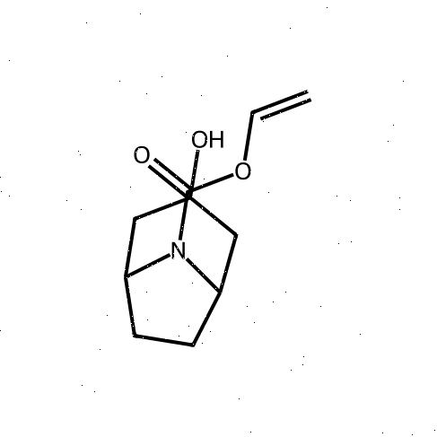 C=COC(=O)N1C2CCC1CC(O)C2